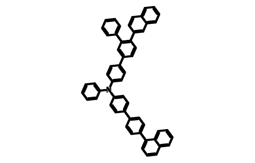 c1ccc(-c2cc(-c3ccc(N(c4ccccc4)c4ccc(-c5ccc(-c6cccc7ccccc67)cc5)cc4)cc3)ccc2-c2ccc3ccccc3c2)cc1